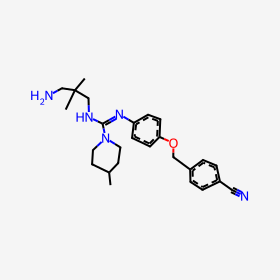 CC1CCN(/C(=N\c2ccc(OCc3ccc(C#N)cc3)cc2)NCC(C)(C)CN)CC1